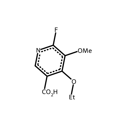 CCOc1c(C(=O)O)cnc(F)c1OC